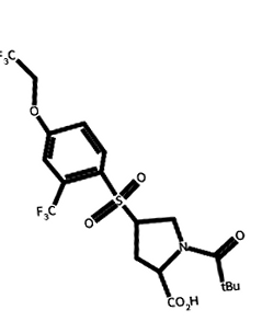 CC(C)(C)C(=O)N1CC(S(=O)(=O)c2ccc(OCC(F)(F)F)cc2C(F)(F)F)CC1C(=O)O